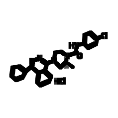 C[C@H]1CN(c2nnc(-c3ccccc3)c3ccccc23)CCN1C(=O)Nc1ccc(Cl)cc1.Cl